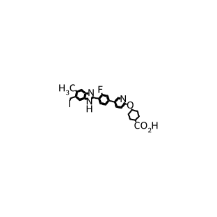 Cc1cc2nc(-c3ccc(-c4ccc(OC5CCC(C(=O)O)CC5)nc4)cc3F)[nH]c2cc1CI